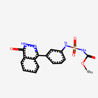 CC(C)(C)OC(=O)NS(=O)(=O)Nc1cccc(-c2n[nH]c(=O)c3ccccc23)c1